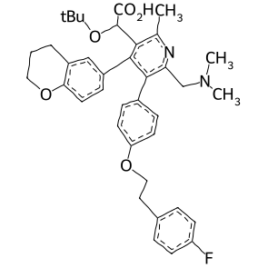 Cc1nc(CN(C)C)c(-c2ccc(OCCc3ccc(F)cc3)cc2)c(-c2ccc3c(c2)CCCO3)c1C(OC(C)(C)C)C(=O)O